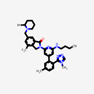 Cc1ccc(-c2nncn2C)c(-c2cc(NCCCC#N)nc(N3Cc4c(cc(CN5CCCCC5C(C)C)cc4C(F)(F)F)C3=O)c2)c1